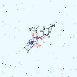 CC(C)(C#N)OC(=O)N1CC2CCC(C1)N2CC(O)COc1ccc(C#N)cc1